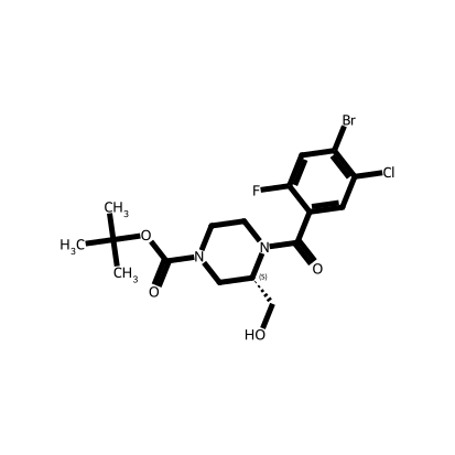 CC(C)(C)OC(=O)N1CCN(C(=O)c2cc(Cl)c(Br)cc2F)[C@H](CO)C1